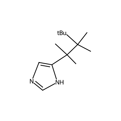 CC(C)(C)C(C)(C)C(C)(C)c1cnc[nH]1